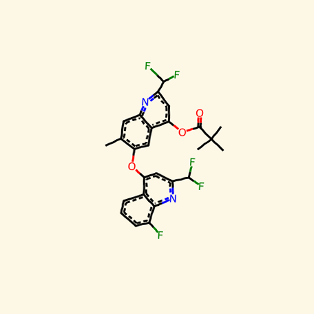 Cc1cc2nc(C(F)F)cc(OC(=O)C(C)(C)C)c2cc1Oc1cc(C(F)F)nc2c(F)cccc12